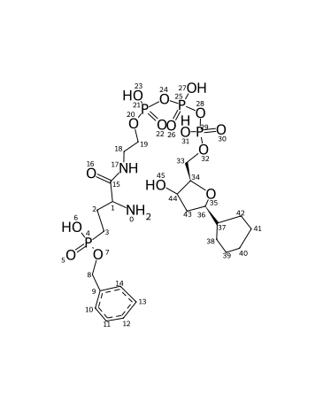 NC(CCP(=O)(O)OCc1ccccc1)C(=O)NCCOP(=O)(O)OP(=O)(O)OP(=O)(O)OC[C@H]1O[C@@H](C2CCCCC2)CC1O